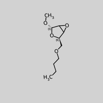 CCCCOC[C@H]1O[C@H](OC)C2OC21